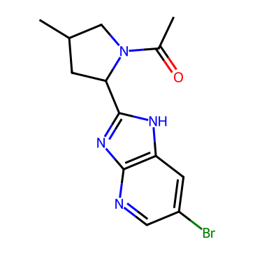 CC(=O)N1CC(C)CC1c1nc2ncc(Br)cc2[nH]1